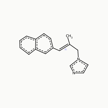 C/C(=C\c1ccc2ccccc2c1)Cn1ccnc1